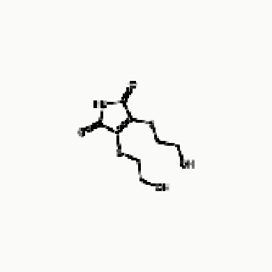 O=C1NC(=O)C(SCCO)=C1SCCO